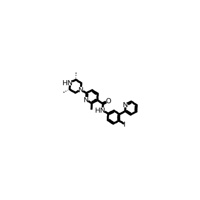 Cc1nc(N2C[C@@H](C)N[C@@H](C)C2)ccc1C(=O)Nc1ccc(I)c(-c2ccccn2)c1